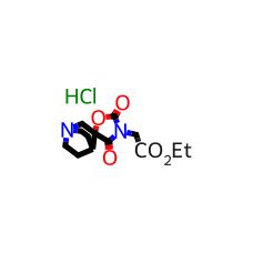 CCOC(=O)CN1C(=O)OC2(CN3CCC2CC3)C1=O.Cl